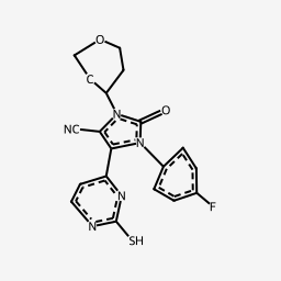 N#Cc1c(-c2ccnc(S)n2)n(-c2ccc(F)cc2)c(=O)n1C1CCOCC1